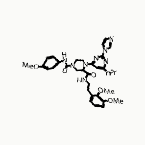 CCCc1cc(N2CCN(C(=O)Nc3ccc(OC)cc3)CC2C(=O)NCCc2cccc(OC)c2OC)nc(-n2ccnc2)n1